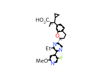 CCc1nc([C@H]2CCc3ccc(C(C4CC4)[C@H](C)C(=O)O)cc3O2)cnc1-c1cc(OC)ncc1F